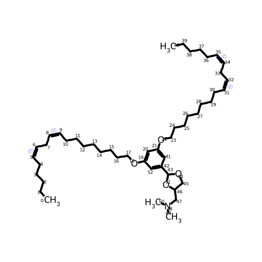 CCCCC/C=C\C/C=C\CCCCCCCCOc1cc(OCCCCCCCC/C=C\C/C=C\CCCCC)cc(C2OCC(CN(C)C)O2)c1